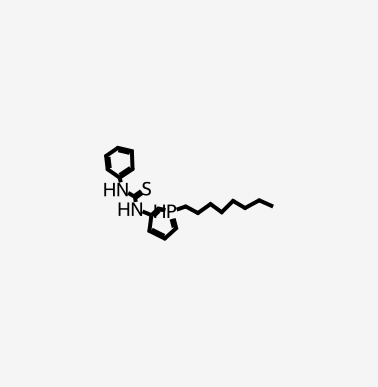 CCCCCCCC[PH]1=CC=CC(NC(=S)Nc2ccccc2)=C1